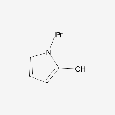 CC(C)n1cccc1O